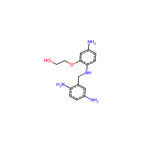 Nc1ccc(N)c(CNc2ccc(N)cc2OCCO)c1